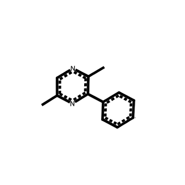 Cc1cnc(C)c(-c2cc[c]cc2)n1